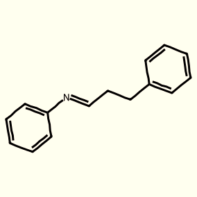 C(CCc1ccccc1)=Nc1ccccc1